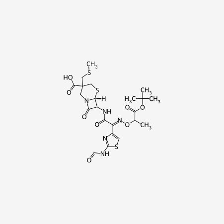 CSCC1(C(=O)O)CS[C@@H]2C(NC(=O)C(=NOC(C)C(=O)OC(C)(C)C)c3csc(NC=O)n3)C(=O)N2C1